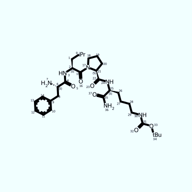 CC(C)C[C@H](NC(=O)[C@@H](N)Cc1ccccc1)C(=O)N1CCC[C@H]1C(=O)N[C@@H](CCCCNC(=O)OC(C)(C)C)C(N)=O